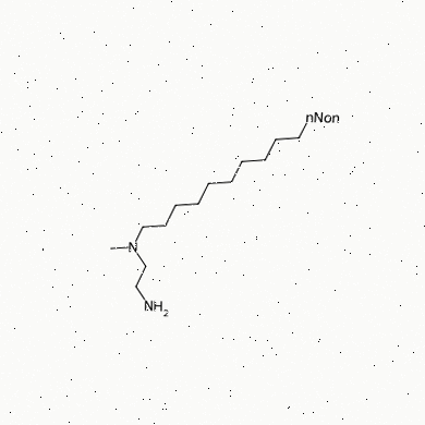 CCCCCCCCCCCCCCCCCCCN(C)CCN